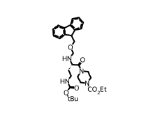 CCOC(=O)N1CCN(C(=O)[C@H](CCNC(=O)OC(C)(C)C)NCOCC2c3ccccc3-c3ccccc32)CC1